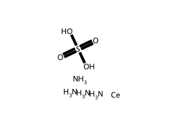 N.N.N.N.O=S(=O)(O)O.[Ce]